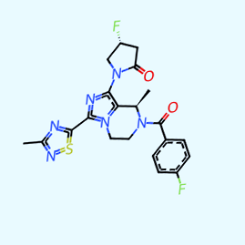 Cc1nsc(-c2nc(N3C[C@H](F)CC3=O)c3n2CCN(C(=O)c2ccc(F)cc2)[C@@H]3C)n1